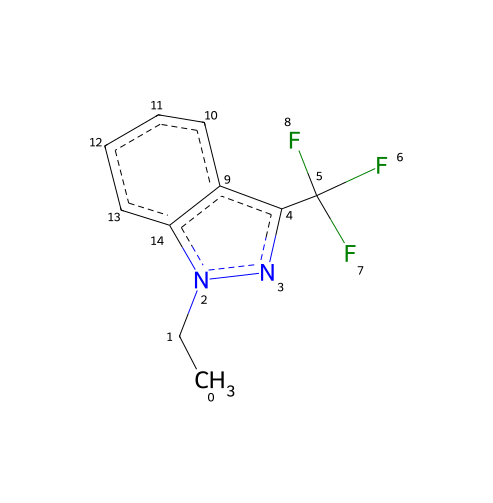 CCn1nc(C(F)(F)F)c2ccccc21